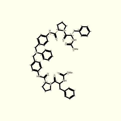 COC(=O)NC(Cc1ccccc1)C(=O)N1CCC[C@H]1C(=O)Nc1ccc(CN(Cc2ccc(NC(=O)[C@@H]3CCCN3C(=O)[C@H](Cc3ccccc3)NC(=O)OC)cc2)c2ccccc2)cc1